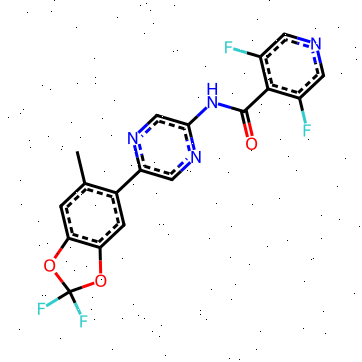 Cc1cc2c(cc1-c1cnc(NC(=O)c3c(F)cncc3F)cn1)OC(F)(F)O2